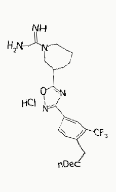 CCCCCCCCCCCc1ccc(-c2noc(C3CCCN(C(=N)N)C3)n2)cc1C(F)(F)F.Cl